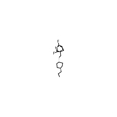 CCC[C@H]1CC[C@H](CCc2ccc(F)nc2F)CC1